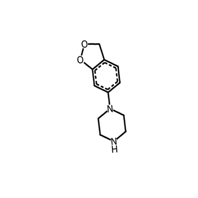 c1cc2c(cc1N1CCNCC1)OOC2